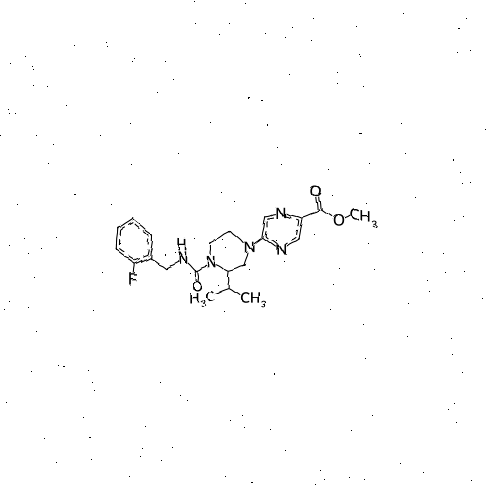 COC(=O)c1cnc(N2CCN(C(=O)NCc3ccccc3F)C(C(C)C)C2)cn1